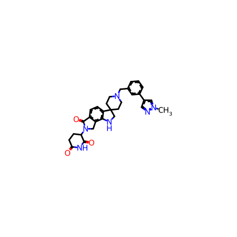 Cn1cc(-c2cccc(CN3CCC4(CC3)CNc3c4ccc4c3CN(C3CCC(=O)NC3=O)C4=O)c2)cn1